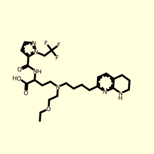 CCOCCN(CCCCc1ccc2c(n1)NCCC2)CCC(NC(=O)c1ccnn1CC(F)(F)F)C(=O)O